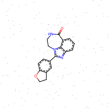 O=C1NCCn2c(-c3ccc4c(c3)CCO4)nc3cccc1c32